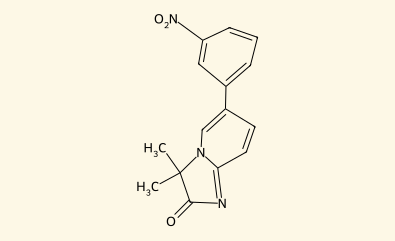 CC1(C)C(=O)N=C2C=CC(c3cccc([N+](=O)[O-])c3)=CN21